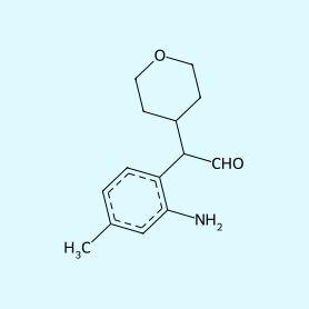 Cc1ccc(C(C=O)C2CCOCC2)c(N)c1